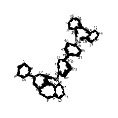 c1ccc(-c2cc3ccc4cccc5c4c3c(c2)n5-c2ccc(-c3ccc(-n4c5ccccc5c5ccccc54)cc3)cc2)cc1